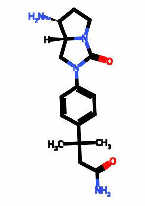 CC(C)(CC(N)=O)c1ccc(N2C[C@@H]3[C@H](N)CCN3C2=O)cc1